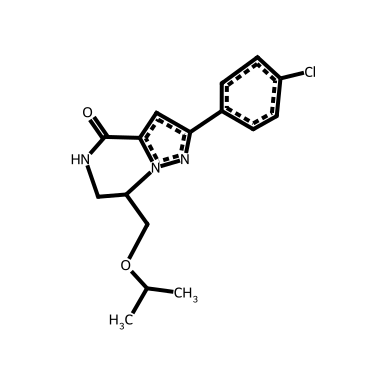 CC(C)OCC1CNC(=O)c2cc(-c3ccc(Cl)cc3)nn21